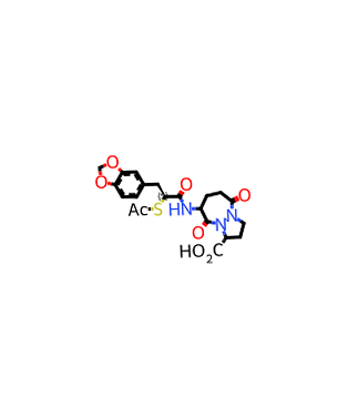 CC(=O)S[C@@H](Cc1ccc2c(c1)OCO2)C(=O)NC1CCC(=O)N2CCC(C(=O)O)N2C1=O